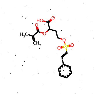 C=C(C)C(=O)OC(CCOS(=O)(=O)C=Cc1ccccc1)C(=O)O